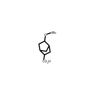 CCCCOC1CC2CC1CC2C(=O)O